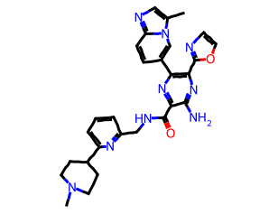 Cc1cnc2ccc(-c3nc(C(=O)NCc4cccc(C5CCN(C)CC5)n4)c(N)nc3-c3ncco3)cn12